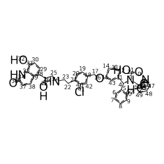 O=C(O)N([C@@H](c1ccccc1)c1cccc(OCc2ccc(CCNC[C@H](O)c3ccc(O)c4[nH]c(=O)ccc34)c(Cl)c2)c1)[C@H]1CN2CCC1CC2